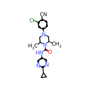 CC1CN(c2ccc(C#N)c(Cl)c2)C[C@@H](C)N1C(=O)Nc1cnc(C2CC2)nc1